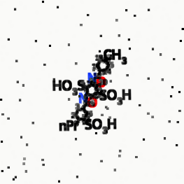 CCCc1ccc(-c2nc3c(S(=O)(=O)O)c4nc(-c5ccc(C)cc5)oc4c(S(=O)(=O)O)c3o2)cc1S(=O)(=O)O